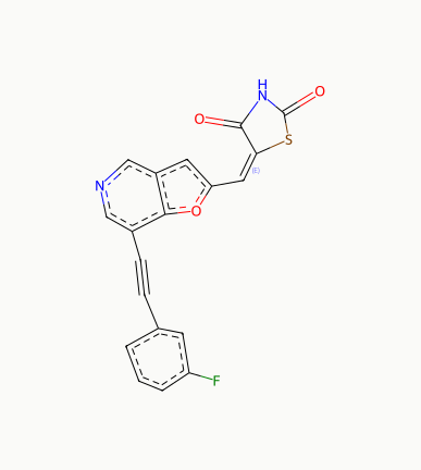 O=C1NC(=O)/C(=C\c2cc3cncc(C#Cc4cccc(F)c4)c3o2)S1